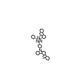 c1ccc(-c2nc(-c3ccc(-n4c5ccccc5c5c6sc7ccccc7c6ccc54)cc3)nc(-c3cccc4c3sc3ccccc34)n2)cc1